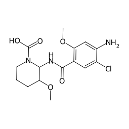 COc1cc(N)c(Cl)cc1C(=O)NC1C(OC)CCCN1C(=O)O